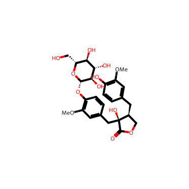 COc1cc(C[C@H]2COC(=O)[C@]2(O)Cc2ccc(O[C@@H]3O[C@H](CO)[C@@H](O)[C@H](O)[C@H]3O)c(OC)c2)ccc1O